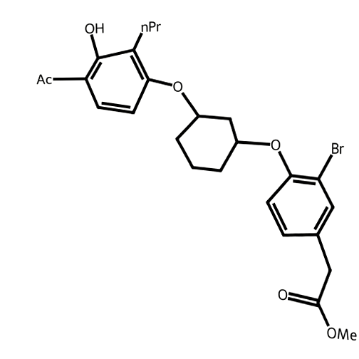 CCCc1c(OC2CCCC(Oc3ccc(CC(=O)OC)cc3Br)C2)ccc(C(C)=O)c1O